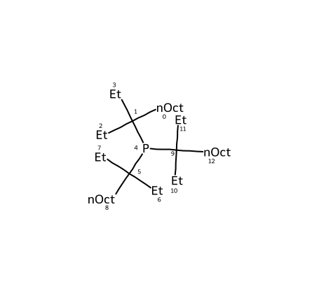 CCCCCCCCC(CC)(CC)P(C(CC)(CC)CCCCCCCC)C(CC)(CC)CCCCCCCC